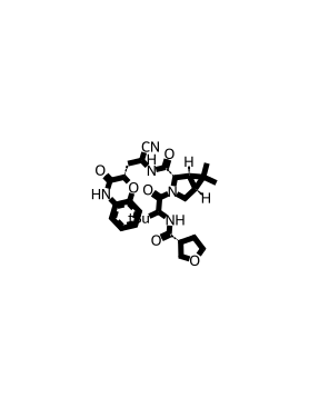 CC(C)(C)C(NC(=O)[C@@H]1CCOC1)C(=O)N1C[C@H]2[C@@H]([C@H]1C(=O)NC(C#N)C[C@@H]1Oc3ccccc3NC1=O)C2(C)C